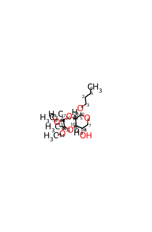 CCCCO[C@@H]1OC[C@H](O)[C@H]2O[C@](C)(OC)[C@@](C)(OC)O[C@H]12